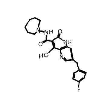 O=C(NN1CCCCCC1)c1c(O)c2ncc(Cc3ccc(F)cc3)cc2[nH]c1=O